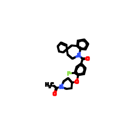 CC(=O)N1CCC(Oc2ccc(C(=O)N3CCC4(C=CCCC4)Cc4ccccc43)cc2F)CC1